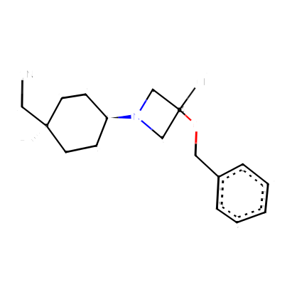 CC[C@]1(CC#N)CC[C@@H](N2CC(OCc3ccccc3)(C(F)(F)F)C2)CC1